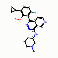 COc1c(C2CC2)ccc(F)c1-c1nnc(N[C@@H]2CCCN(C)C2)c2cnccc12